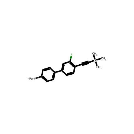 CCCCCc1ccc(-c2ccc(C#C[Si](C)(C)C)c(F)c2)cc1